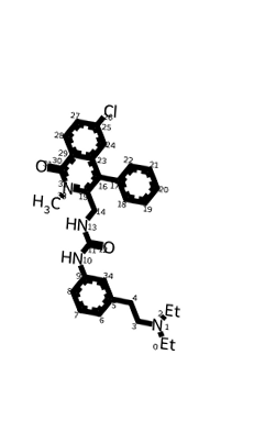 CCN(CC)CCc1cccc(NC(=O)NCc2c(-c3ccccc3)c3cc(Cl)ccc3c(=O)n2C)c1